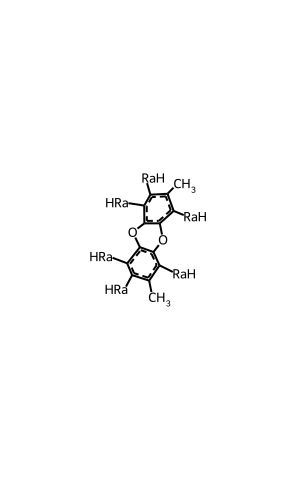 Cc1[c]([RaH])[c]([RaH])c2c([c]1[RaH])Oc1[c]([RaH])c(C)[c]([RaH])[c]([RaH])c1O2